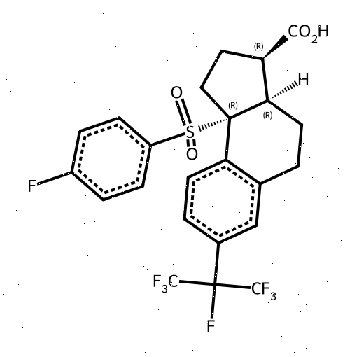 O=C(O)[C@@H]1CC[C@]2(S(=O)(=O)c3ccc(F)cc3)c3ccc(C(F)(C(F)(F)F)C(F)(F)F)cc3CC[C@H]12